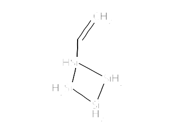 C=C[SiH]1[SiH2][SiH2][SiH2]1